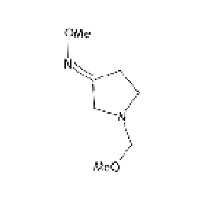 COCN1CCC(=NOC)C1